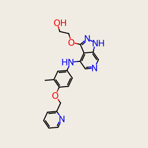 Cc1cc(Nc2cncc3[nH]nc(OCCO)c23)ccc1OCc1ccccn1